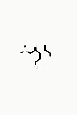 CC(CO)[C@@H](C(=N)CN(C)C)[C@H](C)[C@@H](C)N